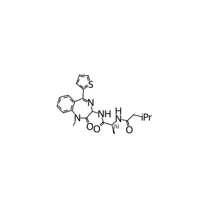 CC(C)CC(=O)N[C@@H](C)C(=O)NC1N=C(c2cccs2)c2ccccc2N(C)C1=O